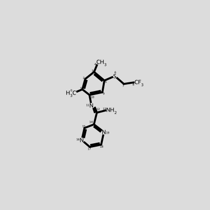 Cc1cc(C)c(SCC(F)(F)F)cc1/N=C(\N)c1cnccn1